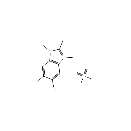 CC[n+]1c(C)n(C)c2cc(Cl)c(Cl)cc21.O=S(=O)([O-])C(F)(F)F